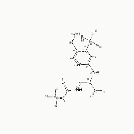 CC(C)[C@H](CNC(=O)OC(C)(C)C)Nc1ncc(CO)c(C(F)(F)F)n1